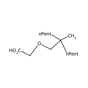 CCCCCC(C)(CCCCC)COCC(=O)O